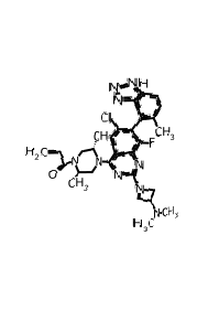 C=CC(=O)N1C[C@H](C)N(c2nc(N3CC(N(C)C)C3)nc3c(F)c(-c4c(C)ccc5[nH]nnc45)c(Cl)cc23)C[C@H]1C